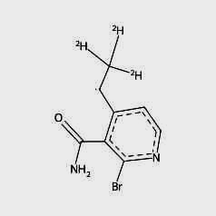 [2H]C([2H])([2H])[CH]c1ccnc(Br)c1C(N)=O